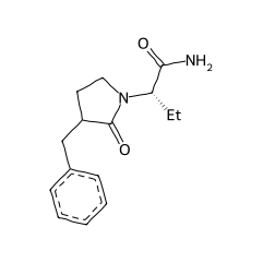 CC[C@@H](C(N)=O)N1CCC(Cc2ccccc2)C1=O